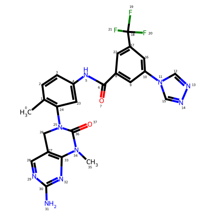 Cc1ccc(NC(=O)c2cc(-n3cnnc3)cc(C(F)(F)F)c2)cc1N1Cc2cnc(N)nc2N(C)C1=O